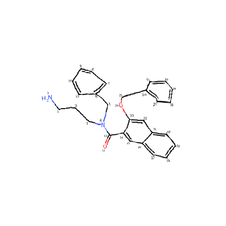 NCCCN(Cc1ccccc1)C(=O)c1cc2ccccc2cc1OCc1ccccc1